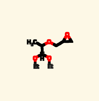 CCO[SiH](OCC)C(C)OCC1CO1